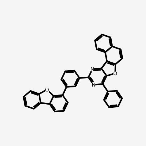 c1ccc(-c2nc(-c3cccc(-c4cccc5c4oc4ccccc45)c3)nc3c2oc2ccc4ccccc4c23)cc1